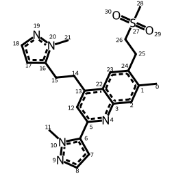 Cc1cc2nc(-c3ccnn3C)cc(CCc3ccnn3C)c2cc1CCS(C)(=O)=O